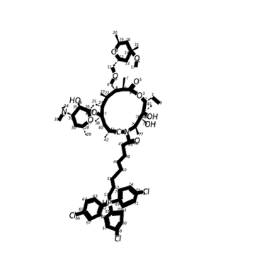 CC[C@H]1OC(=O)[C@H](C)[C@@H](COC[C@H]2C[C@@](C)(OC)C[C@H](C)O2)[C@H](C)[C@@H](C[C@@H]2O[C@H](C)C[C@H](N(C)C)[C@H]2O)[C@](C)(O)C[C@@H](C)CN(C(=O)CCCCCCC[PH](c2ccc(Cl)cc2)(c2ccc(Cl)cc2)c2ccc(Cl)cc2)[C@H](C)[C@@H](O)[C@]1(C)O